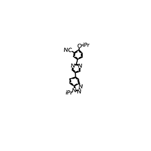 CC(C)Oc1ccc(-c2ncc(-c3ccc4c(c3)nnn4C(C)C)cn2)cc1C#N